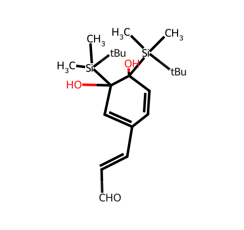 CC(C)(C)[Si](C)(C)C1(O)C=CC(C=CC=O)=CC1(O)[Si](C)(C)C(C)(C)C